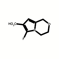 O=C(O)c1cc2n(c1F)CCOC2